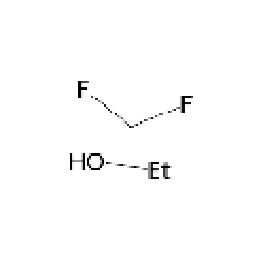 CCO.FCF